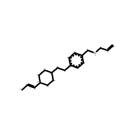 C=CCOCc1ccc(CCC2CCC(/C=C/C)CC2)cc1